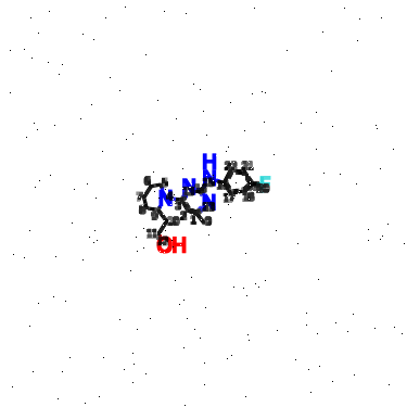 Cc1cc(N2CCCCC2CCO)nc(Nc2ccc(F)cc2)n1